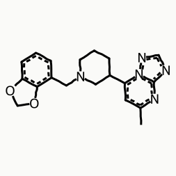 Cc1cc(C2CCCN(Cc3cccc4c3OCO4)C2)n2ncnc2n1